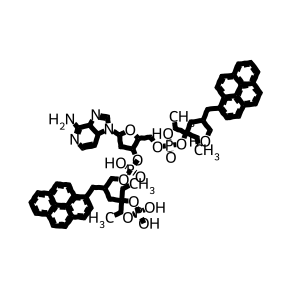 CCC(CC)(CC(COP(=O)(O)OC1CC(N2C=NC3C(N)=NC=CC32)OC1COP(=O)(O)OC(CC)(CC)CC(CO)Cc1ccc2ccc3cccc4ccc1c2c34)Cc1ccc2ccc3cccc4ccc1c2c34)OP(=O)(O)O